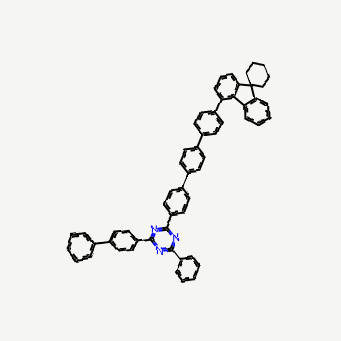 c1ccc(-c2ccc(-c3nc(-c4ccccc4)nc(-c4ccc(-c5ccc(-c6ccc(-c7cccc8c7-c7ccccc7C87CCCCC7)cc6)cc5)cc4)n3)cc2)cc1